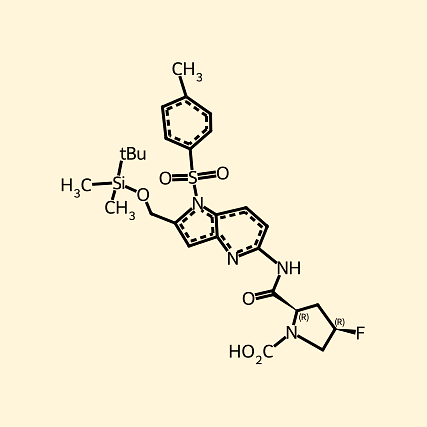 Cc1ccc(S(=O)(=O)n2c(CO[Si](C)(C)C(C)(C)C)cc3nc(NC(=O)[C@H]4C[C@@H](F)CN4C(=O)O)ccc32)cc1